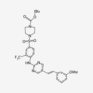 COc1cccc(/C=C/c2cnc(Nc3ccc(S(=O)(=O)N4CCN(C(=O)OC(C)(C)C)CC4)cc3C(F)(F)F)nc2)c1